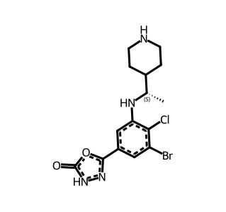 C[C@H](Nc1cc(-c2n[nH]c(=O)o2)cc(Br)c1Cl)C1CCNCC1